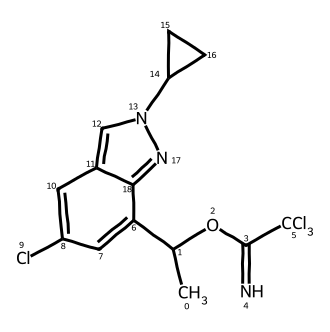 CC(OC(=N)C(Cl)(Cl)Cl)c1cc(Cl)cc2cn(C3CC3)nc12